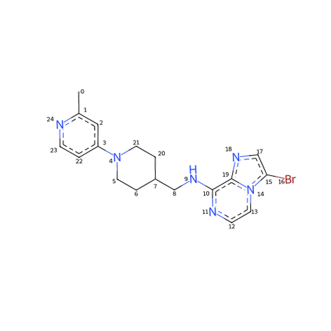 Cc1cc(N2CCC(CNc3nccn4c(Br)cnc34)CC2)ccn1